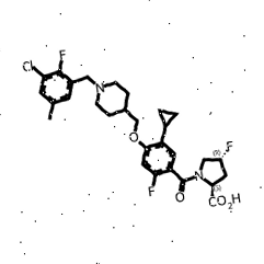 Cc1cc(Cl)c(F)c(CN2CCC(COc3cc(F)c(C(=O)N4C[C@H](F)C[C@H]4C(=O)O)cc3C3CC3)CC2)c1